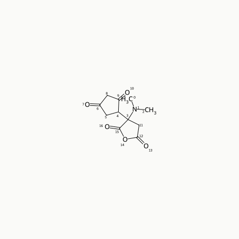 CN(C)C1(C2CC(=O)CC2=O)CC(=O)OC1=O